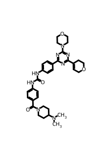 CN(C)C1CCN(C(=O)c2ccc(NC(=O)Nc3ccc(-c4nc(C5=CCOCC5)nc(N5CCOCC5)n4)cc3)cc2)CC1